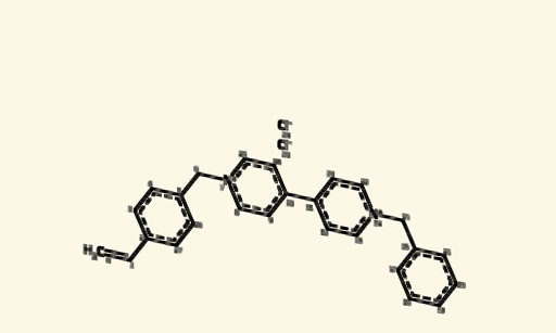 C=Cc1ccc(C[n+]2ccc(-c3cc[n+](Cc4ccccc4)cc3)cc2)cc1.[Cl-].[Cl-]